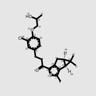 Cc1sc(C(=O)CCc2ccc(OCC(C)O)c(Cl)c2)c2c1[C@H]1[C@@H](C2)C1(C)C